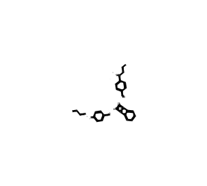 CCCCNc1ccc(C(=O)O[C@H]2[C@@H](OC(=O)c3ccc(C(N)CCC)cc3)[C@@]34C[C@@]23c2ccccc24)cc1